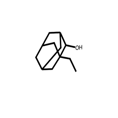 CCC12CC3CC(CC(C3)C1O)C2